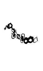 CN1CCCC(c2cnc(C(=O)N3CCN(S(=O)(=O)c4ccc5cc(Cl)ccc5c4)CC3)s2)C1